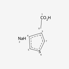 CC(=O)O.[NaH].c1ccsc1